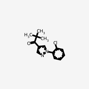 CC(C)(C)C(=O)c1cnn(-c2ccccc2Cl)c1